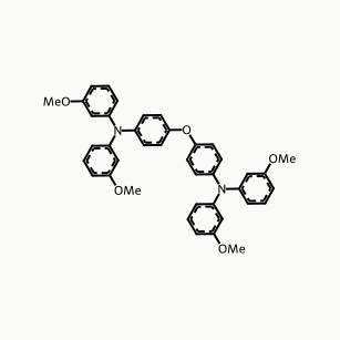 COc1cccc(N(c2ccc(Oc3ccc(N(c4cccc(OC)c4)c4cccc(OC)c4)cc3)cc2)c2cccc(OC)c2)c1